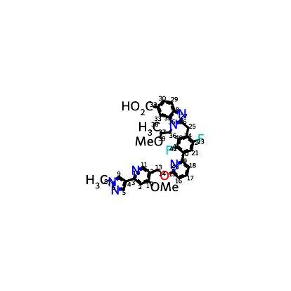 COc1cc(-c2cnn(C)c2)ncc1COc1cccc(-c2cc(F)c(Cc3nc4ccc(C(=O)O)cc4n3CC(C)OC)cc2F)n1